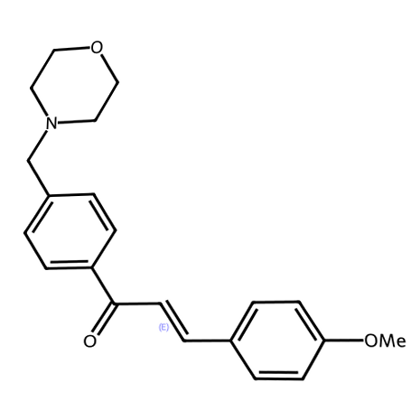 COc1ccc(/C=C/C(=O)c2ccc(CN3CCOCC3)cc2)cc1